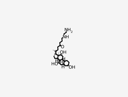 C[C@H](CCC(=O)CCCNCCN)[C@H]1CC[C@H]2[C@@H]3[C@H](O)C[C@@H]4C[C@H](O)CC[C@]4(C)[C@H]3C[C@H](O)[C@]12C